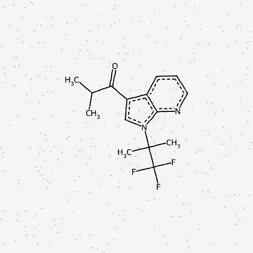 CC(C)C(=O)c1cn(C(C)(C)C(F)(F)F)c2ncccc12